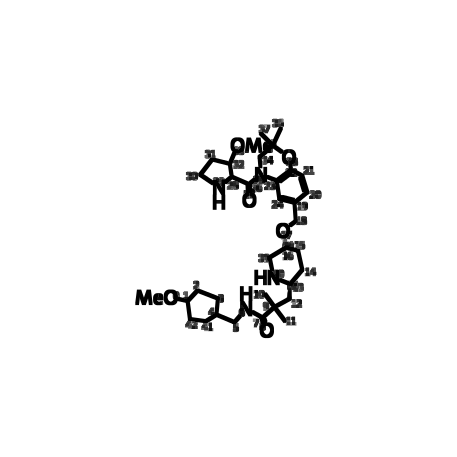 COC1CCC(CNC(=O)C(C)(C)C[C@@H]2CC[C@@H](OCc3ccc4c(c3)N(C(=O)C3NCCC3OC)CC(C)(C)O4)CN2)CC1